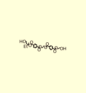 CCC(C)(CCO)OC(=O)c1ccc(C(=O)OCCOC(=O)c2ccc(C(=O)OCCO)cc2)cc1